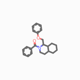 O=C(c1ccccc1)N1CCC2CCCCC2C1COc1ccccc1